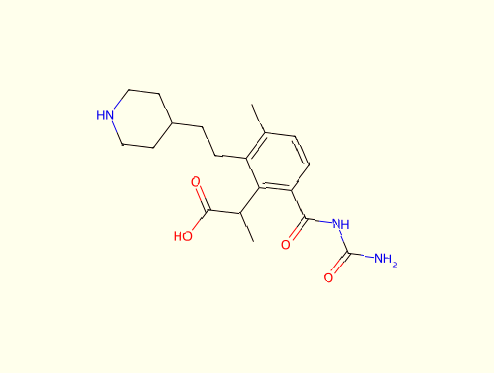 Cc1ccc(C(=O)NC(N)=O)c(C(C)C(=O)O)c1CCC1CCNCC1